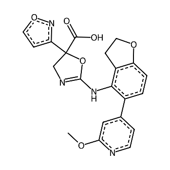 COc1cc(-c2ccc3c(c2NC2=NCC(C(=O)O)(c4ccon4)O2)CCO3)ccn1